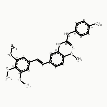 COc1ccc(C=Cc2cc(OC)c(OC)c(OC)c2)cc1NC(=S)Nc1ccc(C)cc1